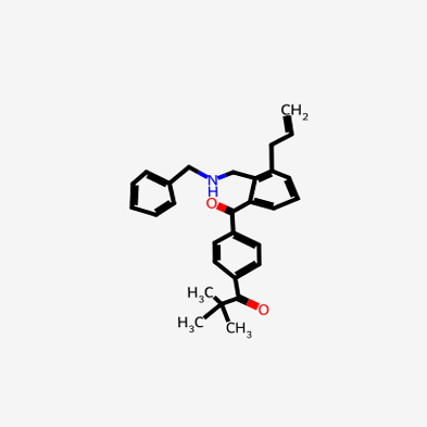 C=CCc1cccc(C(=O)c2ccc(C(=O)C(C)(C)C)cc2)c1CNCc1ccccc1